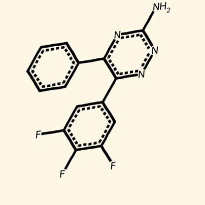 Nc1nnc(-c2cc(F)c(F)c(F)c2)c(-c2ccccc2)n1